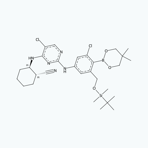 CC1(C)COB(c2c(Cl)cc(Nc3ncc(Cl)c(N[C@@H]4CCCC[C@H]4C#N)n3)cc2CO[Si](C)(C)C(C)(C)C)OC1